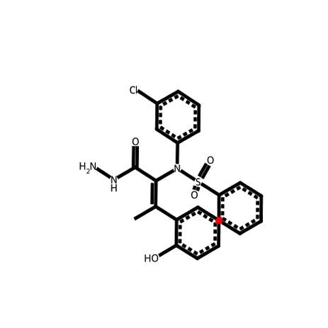 C/C(=C(\C(=O)NN)N(c1cccc(Cl)c1)S(=O)(=O)c1ccccc1)c1ccccc1O